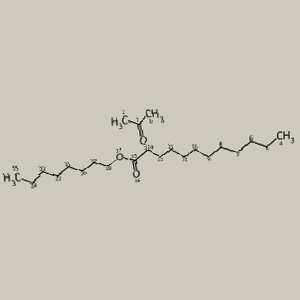 CC(C)=O.CCCCCCCCCCCC(=O)OCCCCCCCC